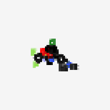 CCN(CC)Cc1ccc([C@H](c2ccc(Cl)cc2)N2CC/C2=C(\c2cc(F)cc(F)c2)S(C)(=O)=O)cc1